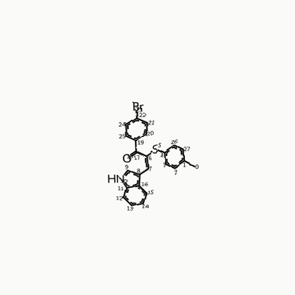 Cc1ccc(S/C(=C/c2c[nH]c3ccccc23)C(=O)c2ccc(Br)cc2)cc1